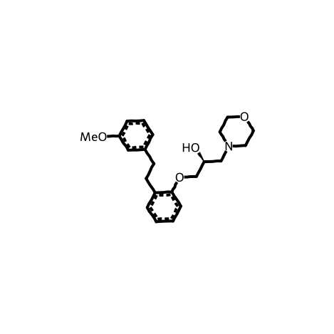 COc1cccc(CCc2ccccc2OC[C@@H](O)CN2CCOCC2)c1